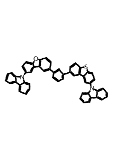 c1cc(-c2ccc3oc4ccc(-n5c6ccccc6c6ccccc65)cc4c3c2)cc(-c2ccc3sc4ccc(-n5c6ccccc6c6ccccc65)cc4c3c2)c1